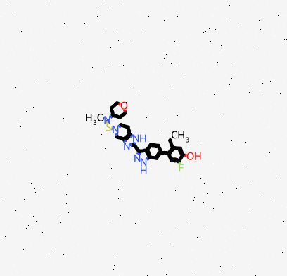 CCc1cc(O)c(F)cc1-c1ccc2c(-c3nc4c([nH]3)CCN(SN(C)C3CCOCC3)C4)n[nH]c2c1